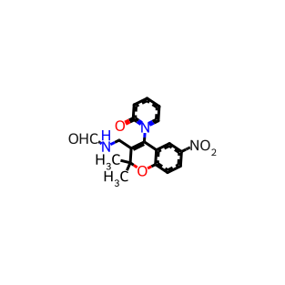 CC1(C)Oc2ccc([N+](=O)[O-])cc2C(n2ccccc2=O)=C1CNC=O